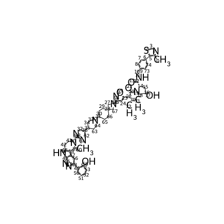 Cc1ncsc1-c1ccc(CNC(=O)[C@@H]2C[C@@H](O)CN2C(=O)[C@@H](c2cc(N3CC4(CCC(N5CCC(c6cnc(N7CCc8[nH]c9nnc(-c%10ccccc%10O)cc9c8[C@H]7C)nc6)CC5)CC4)C3)no2)C(C)C)cc1